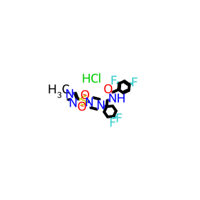 Cl.Cn1cnc(S(=O)(=O)N2CCN(C3(CNC(=O)c4ccc(F)cc4F)CCC(F)(F)CC3)CC2)c1